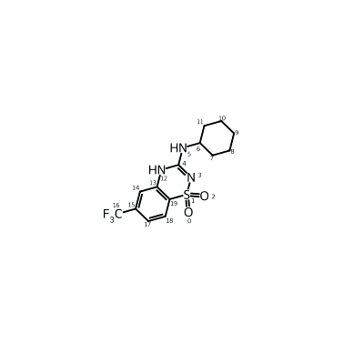 O=S1(=O)N=C(NC2CCCCC2)Nc2cc(C(F)(F)F)ccc21